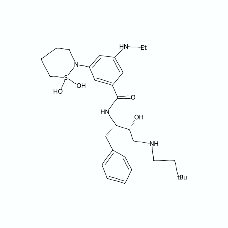 CCNc1cc(C(=O)N[C@@H](Cc2ccccc2)[C@H](O)CNCCC(C)(C)C)cc(N2CCCCS2(O)O)c1